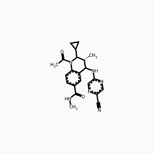 CNC(=O)c1ccc2c(c1)C(Nc1cnc(C#N)cn1)[C@@H](C)C(C1CC1)N2C(C)=O